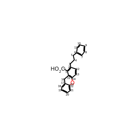 O=C(O)c1c(CCCc2ccccc2)ccc2c1Cc1ccccc1O2